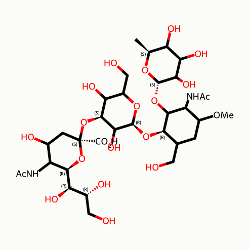 COC1CC(CO)[C@@H](O[C@@H]2OC(CO)C(O)[C@H](O[C@]3(C(=O)O)CC(O)C(NC(C)=O)[C@H]([C@H](O)[C@H](O)CO)O3)C2O)C(O[C@@H]2O[C@@H](C)C(O)C(O)C2O)C1NC(C)=O